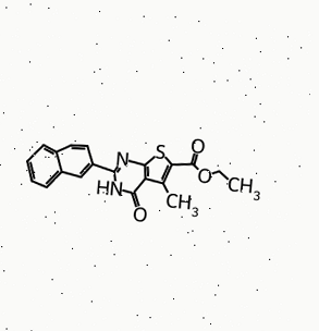 CCOC(=O)c1sc2nc(-c3ccc4ccccc4c3)[nH]c(=O)c2c1C